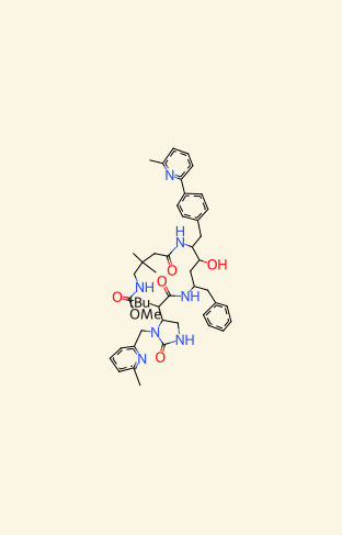 COC(=O)NCC(C)(C)CC(=O)NC(Cc1ccc(-c2cccc(C)n2)cc1)C(O)CC(Cc1ccccc1)NC(=O)C(C1CNC(=O)N1Cc1cccc(C)n1)C(C)(C)C